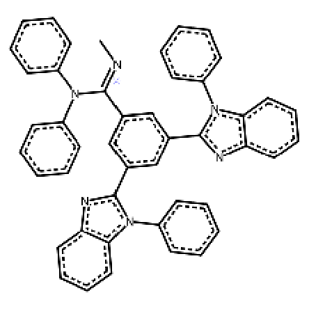 C/N=C(/c1cc(-c2nc3ccccc3n2-c2ccccc2)cc(-c2nc3ccccc3n2-c2ccccc2)c1)N(c1ccccc1)c1ccccc1